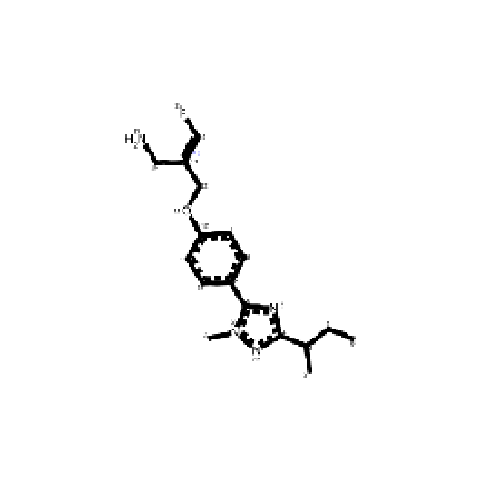 CCC(C)c1nc(-c2ccc(OC/C(=C/F)CN)cc2)n(C)n1